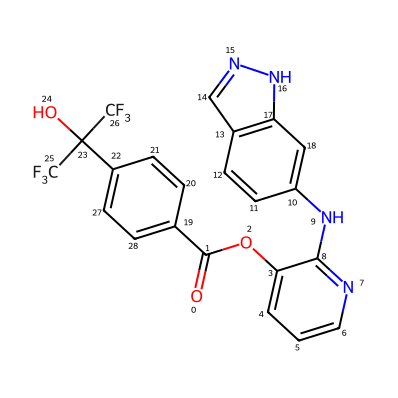 O=C(Oc1cccnc1Nc1ccc2cn[nH]c2c1)c1ccc(C(O)(C(F)(F)F)C(F)(F)F)cc1